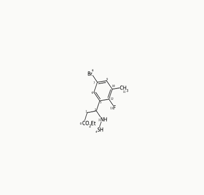 CCOC(=O)CC(NS)c1cc(Br)cc(C)c1F